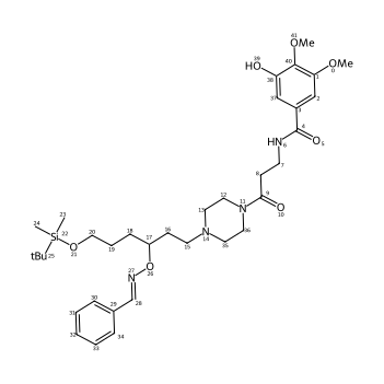 COc1cc(C(=O)NCCC(=O)N2CCN(CCC(CCCO[Si](C)(C)C(C)(C)C)O/N=C/c3ccccc3)CC2)cc(O)c1OC